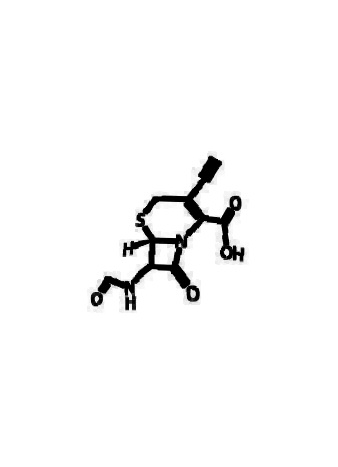 C#CC1=C(C(=O)O)N2C(=O)C(NC=O)[C@@H]2SC1